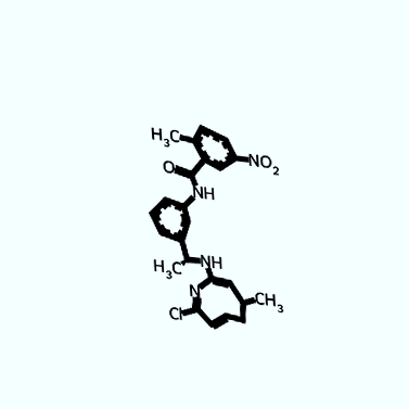 Cc1ccc([N+](=O)[O-])cc1C(=O)Nc1cccc([C@H](C)NC2=C/C(C)C/C=C/C(Cl)=N\2)c1